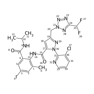 Cc1cc(I)cc(C(=O)NC(C)C)c1NC(=O)c1cc(Cn2nnc(C(F)F)n2)nn1-c1ncccc1Cl